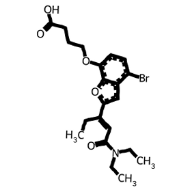 CC/C(=C\C(=O)N(CC)CC)c1cc2c(Br)ccc(OCCCC(=O)O)c2o1